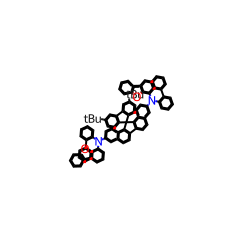 CC(C)(C)c1ccc2c(c1)-c1cc(C(C)(C)C)ccc1C21c2c(ccc3cc(N(c4ccccc4-c4ccccc4)c4cccc5c4oc4ccccc45)ccc23)-c2ccc3cc(N(c4ccccc4-c4ccccc4)c4cccc5c4oc4ccccc45)ccc3c21